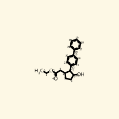 CCOC(=O)CC1CCC(O)C1c1ccc(-c2ccccc2)cc1